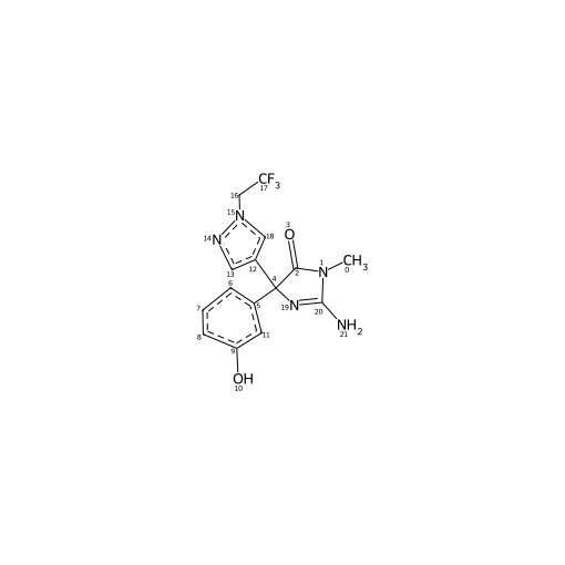 CN1C(=O)C(c2cccc(O)c2)(c2cnn(CC(F)(F)F)c2)N=C1N